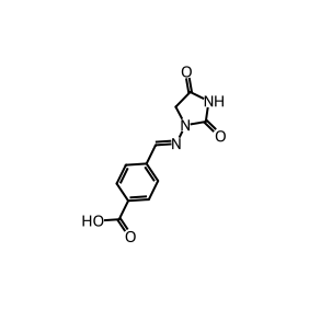 O=C1CN(N=Cc2ccc(C(=O)O)cc2)C(=O)N1